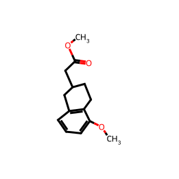 COC(=O)CC1CCc2c(cccc2OC)C1